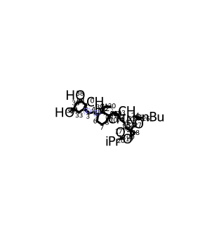 C=C1/C(=C\C=C2/CCC[C@]3(C)[C@@H]([C@H](C)CC[C@H](OC(=O)C(C)C)C4(c5ncc(CCCC)o5)CC4)CC[C@@H]23)C[C@@H](O)C[C@@H]1O